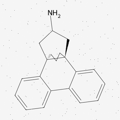 NC1C[C@]23CCC[C@@]2(C1)c1ccccc1-c1ccccc13